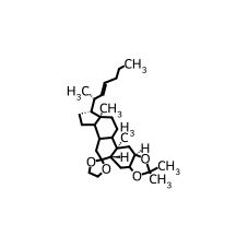 CCC/C=C/[C@@H](C)[C@H]1CCC2C3CC4(OCCO4)[C@H]4CC5OC(C)(C)O[C@@H]5C[C@]4(C)C3CC[C@@]21C